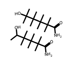 CC(C)(O)C(C)(C)C(C)(C)C(C)(C)C(N)=O.CC(O)C(C)(C)C(C)(C)C(C)(C)C(N)=O